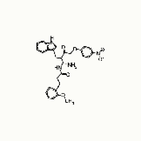 COc1ccccc1CCC(=O)N[C@@H](N)C(Cc1c[nH]c2ccccc12)C(=O)COc1ccc([N+](=O)[O-])cc1